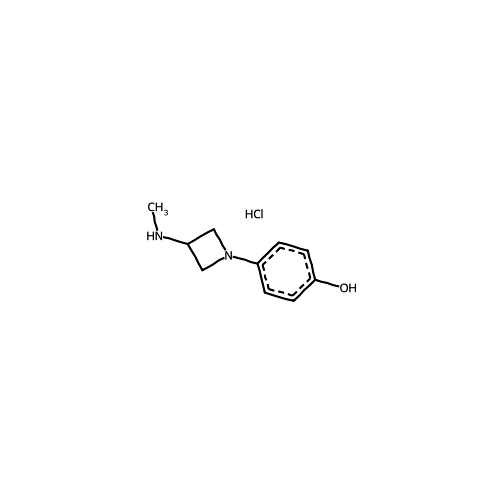 CNC1CN(c2ccc(O)cc2)C1.Cl